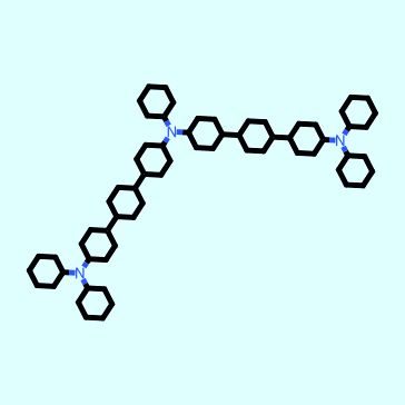 C1CCC(N(C2CCCCC2)C2CCC(C3CCC(C4CCC(N(C5CCCCC5)C5CCC(C6CCC(C7CCC(N(C8CCCCC8)C8CCCCC8)CC7)CC6)CC5)CC4)CC3)CC2)CC1